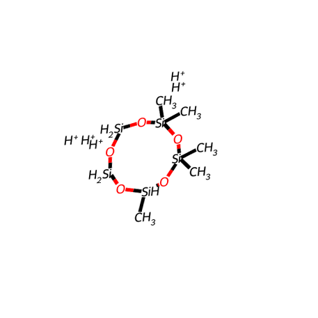 C[SiH]1O[SiH2]O[SiH2]O[Si](C)(C)O[Si](C)(C)O1.[H+].[H+].[H+].[H+].[H+]